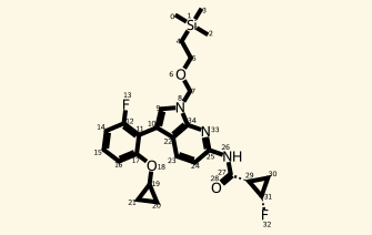 C[Si](C)(C)CCOCn1cc(-c2c(F)cccc2OC2CC2)c2ccc(NC(=O)[C@@H]3C[C@@H]3F)nc21